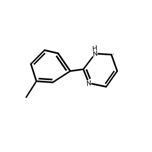 Cc1cccc(C2=NC=C[CH]N2)c1